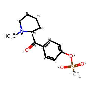 O=C(c1ccc(OS(=O)(=O)C(F)(F)F)cc1)[C@@H]1CCCCN1C(=O)O